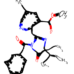 COC(=O)c1cc(C)cnc1C1=NC(C)(C(C)C)C(=O)N1C(=O)c1ccccc1